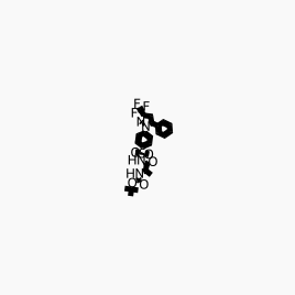 CC(NC(=O)OC(C)(C)C)C(=O)NS(=O)(=O)c1ccc(N2N=C(C(F)(F)F)CC2c2ccccc2)cc1